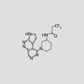 O=C(CC(F)(F)F)NC1CCCN(c2nncc3nnc4[nH]ccc4c23)C1